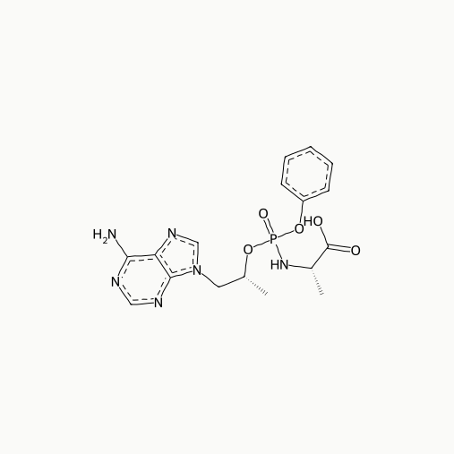 C[C@H](Cn1cnc2c(N)ncnc21)OP(=O)(N[C@@H](C)C(=O)O)Oc1ccccc1